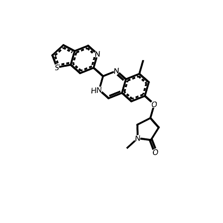 Cc1cc(OC2CC(=O)N(C)C2)cc2c1=NC(c1cc3sccc3cn1)NC=2